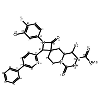 CCC1C2CC3(CCN2C(=O)N[C@@H]1C(=O)OC)C(=O)N(c1ccc(F)c(Cl)c1)C3c1ccc(-c2ccccc2)cn1